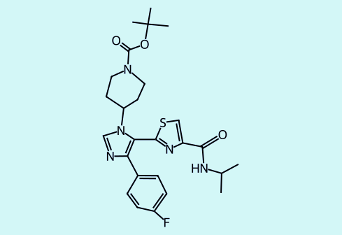 CC(C)NC(=O)c1csc(-c2c(-c3ccc(F)cc3)ncn2C2CCN(C(=O)OC(C)(C)C)CC2)n1